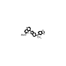 COc1ccc2nccc(-n3cc4c(n3)CCC(N(C)c3ccc5c(c3)OCO5)C4)c2n1